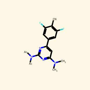 CC(=O)N(C(C)=O)c1nc(-c2cc(F)c(C#N)c(F)c2)cc(N(C)C)n1